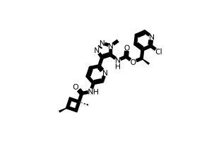 C[C@@H](OC(=O)Nc1c(-c2ccc(NC(=O)[C@]3(C)C[C@H](C)C3)cn2)nnn1C)c1cccnc1Cl